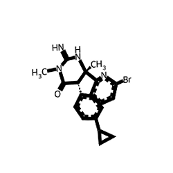 CN1C(=N)N[C@](C)(c2cccc(Br)n2)[C@H](c2ccc(C3CC3)cc2)C1=O